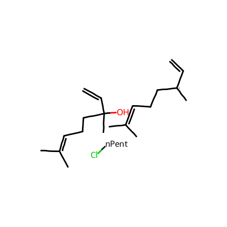 C=CC(C)(O)CCC=C(C)C.C=C[C](C)CCC=C(C)C.CCCCCCl